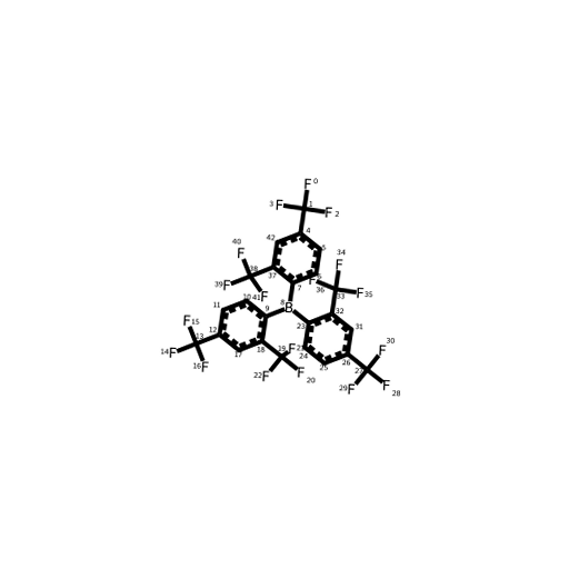 FC(F)(F)c1ccc(B(c2ccc(C(F)(F)F)cc2C(F)(F)F)c2ccc(C(F)(F)F)cc2C(F)(F)F)c(C(F)(F)F)c1